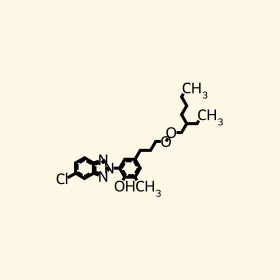 CCCCC(CC)COOCCCc1cc(C)c(O)c(-n2nc3ccc(Cl)cc3n2)c1